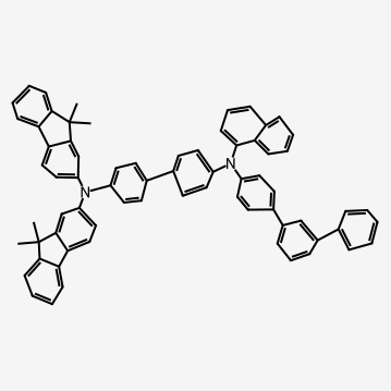 CC1(C)c2ccccc2-c2ccc(N(c3ccc(-c4ccc(N(c5ccc(-c6cccc(-c7ccccc7)c6)cc5)c5cccc6ccccc56)cc4)cc3)c3ccc4c(c3)C(C)(C)c3ccccc3-4)cc21